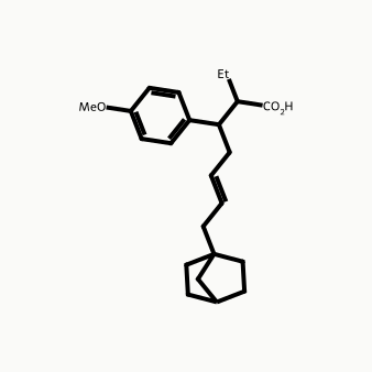 CCC(C(=O)O)C(CC=CCC12CCC(CC1)C2)c1ccc(OC)cc1